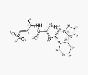 C[C@H](/C=C/S(C)(=O)=O)NC(=O)c1cnc(N2CCC[C@@H]2C2CCCCC2)cn1